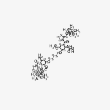 COc1cc(C(=O)N2CCC[C@H]2CO[Si](C)(C)C(C)(C)C)c(N)cc1OCCCCCOc1cc(NC(=O)O)c(C(=O)N2CCC[C@H]2CO[Si](C)(C)C(C)(C)C)cc1OC